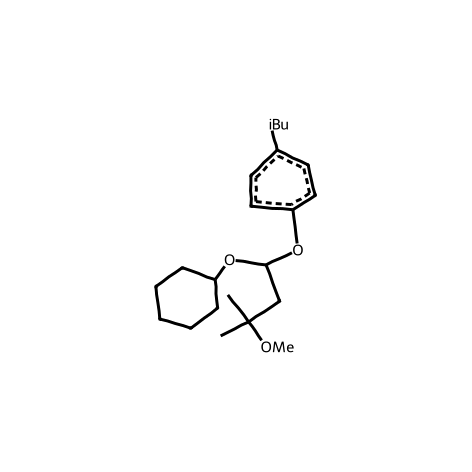 CCC(C)c1ccc(OC(CC(C)(C)OC)OC2CCCCC2)cc1